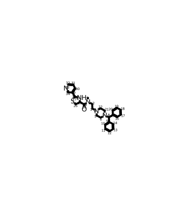 CN(CCN1CCN(C(c2ccccc2)c2ccccc2)CC1)C(=O)C1CSC(c2cccnc2)N1